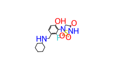 O=C1CN(c2c(O)ccc(CNC3CCCCC3)c2F)S(=O)(=O)N1